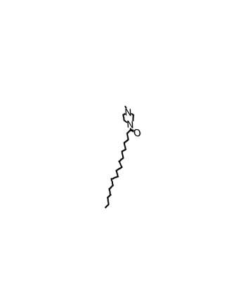 CCCCCCCCCCCCCCCCCC(=O)N1CCN(C)CC1